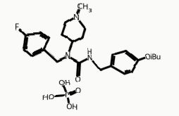 CC(C)COc1ccc(CNC(=O)N(Cc2ccc(F)cc2)C2CCN(C)CC2)cc1.O=P(O)(O)O